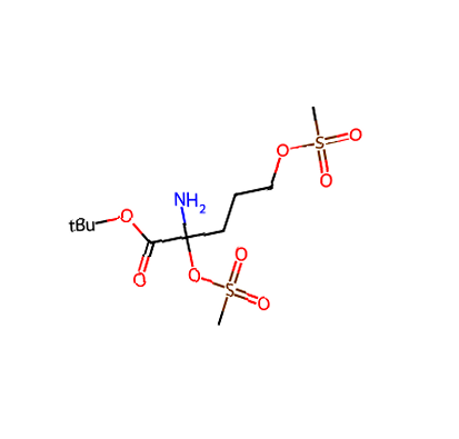 CC(C)(C)OC(=O)C(N)(CCCOS(C)(=O)=O)OS(C)(=O)=O